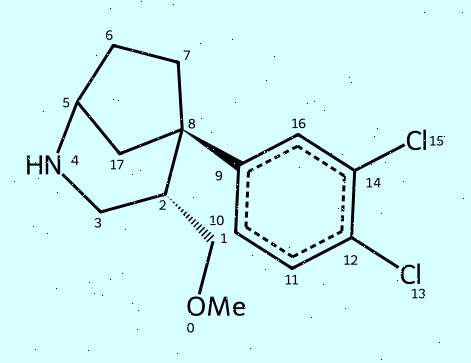 COC[C@@H]1CNC2CC[C@@]1(c1ccc(Cl)c(Cl)c1)C2